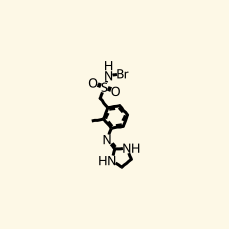 Cc1c(CS(=O)(=O)NBr)cccc1N=C1NCCN1